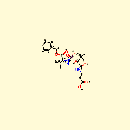 COC(=O)CCNC(=O)[C@@H]1OP(=O)(N[C@H](C(=O)OCc2ccccc2)C(C)C)OCC1(C)C